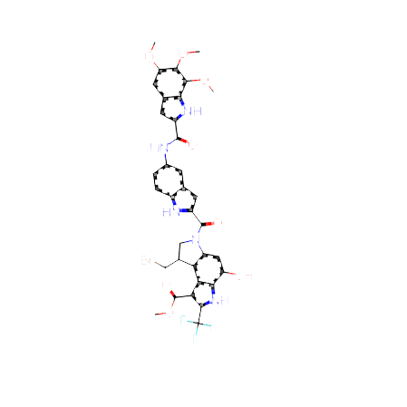 COC(=O)c1c(C(F)(F)F)[nH]c2c(O)cc3c(c12)C(CBr)CN3C(=O)c1cc2cc(NC(=O)c3cc4cc(OC)c(OC)c(OC)c4[nH]3)ccc2[nH]1